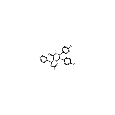 CC(=O)O[C@@H](c1ccncc1)[C@H]1O[C@H](c2ccc(Cl)cc2)[C@H](c2ccc(Cl)cc2)N(C)C1=O